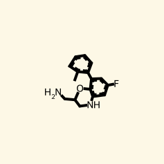 Cc1ccccc1-c1cc(F)cc2c1OC(CN)CN2